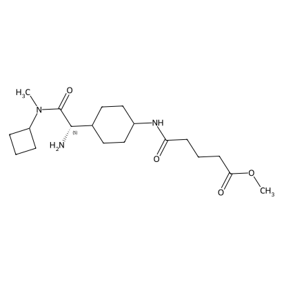 COC(=O)CCCC(=O)NC1CCC([C@H](N)C(=O)N(C)C2CCC2)CC1